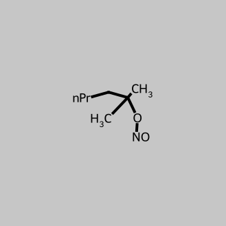 CCCCC(C)(C)ON=O